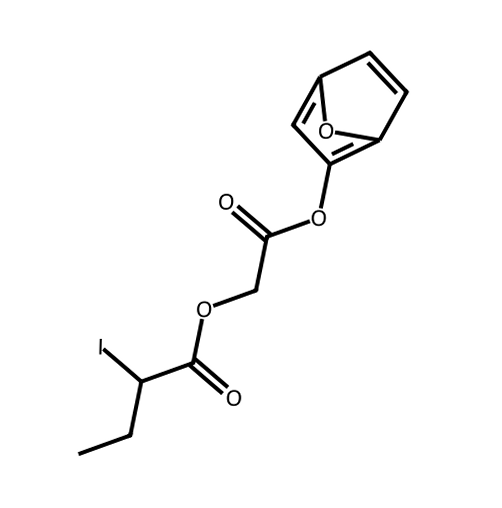 CCC(I)C(=O)OCC(=O)Oc1cc2ccc1o2